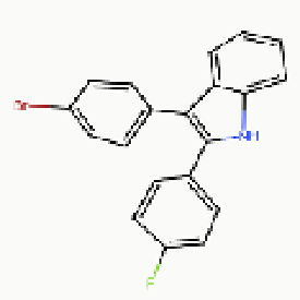 Fc1ccc(-c2[nH]c3ccccc3c2-c2ccc(Br)cc2)cc1